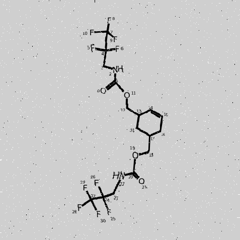 O=C(NCC(F)(F)C(F)(F)F)OCC1C=CCC(COC(=O)NCC(F)(F)C(F)(F)F)C1